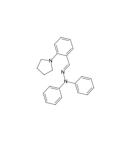 C(=NN(c1ccccc1)c1ccccc1)c1ccccc1N1CCCC1